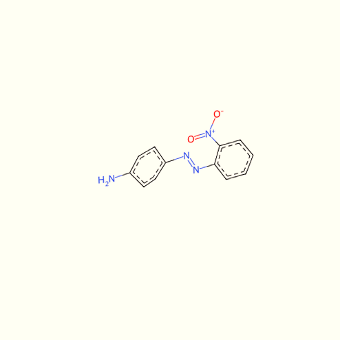 Nc1ccc(N=Nc2ccccc2[N+](=O)[O-])cc1